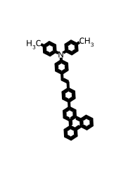 Cc1ccc(N(c2ccc(C)cc2)c2ccc(/C=C/c3ccc(-c4ccc5c6ccccc6c6ccccc6c5c4)cc3)cc2)cc1